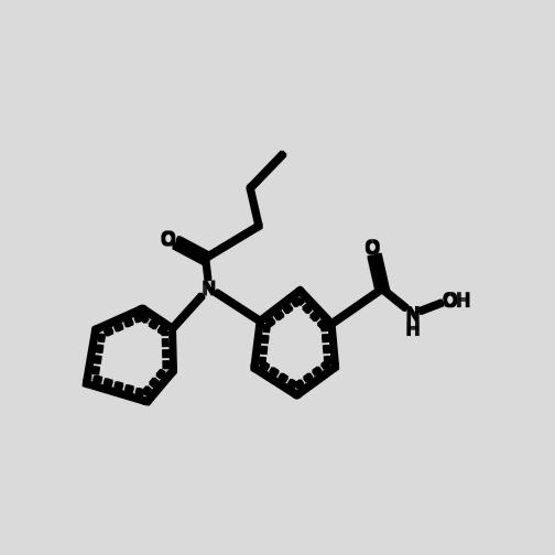 CCCC(=O)N(c1ccccc1)c1cccc(C(=O)NO)c1